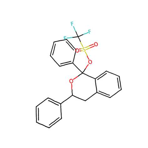 O=S(=O)(OC1(c2ccccc2)OC(c2ccccc2)Cc2ccccc21)C(F)(F)F